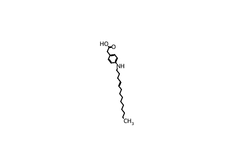 CCCCCCCCCC=CCCCNc1ccc(CC(=O)O)cc1